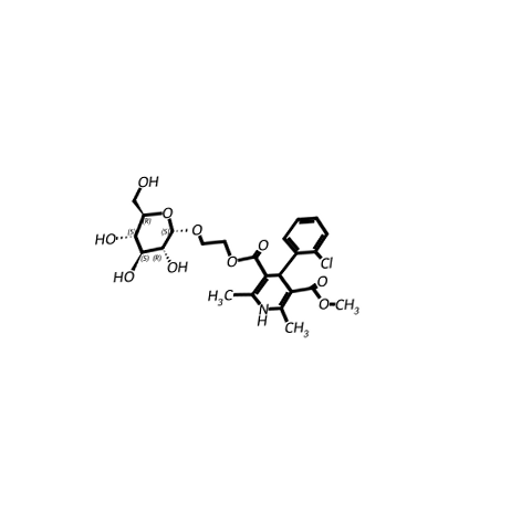 COC(=O)C1=C(C)NC(C)=C(C(=O)OCCO[C@H]2O[C@H](CO)[C@@H](O)[C@H](O)[C@H]2O)C1c1ccccc1Cl